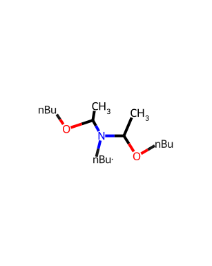 CCC[CH]N(C(C)OCCCC)C(C)OCCCC